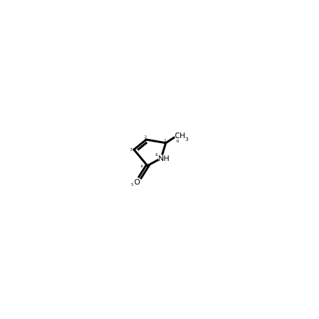 CC1C=CC(=O)N1